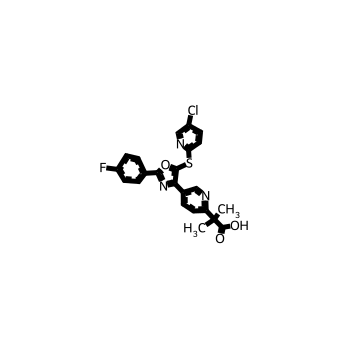 CC(C)(C(=O)O)c1ccc(-c2nc(-c3ccc(F)cc3)oc2Sc2ccc(Cl)cn2)cn1